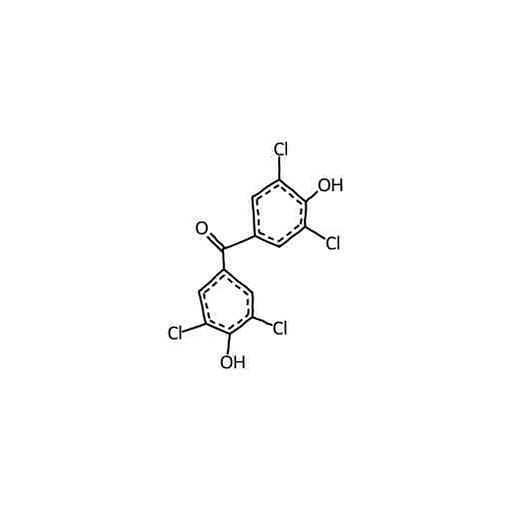 O=C(c1cc(Cl)c(O)c(Cl)c1)c1cc(Cl)c(O)c(Cl)c1